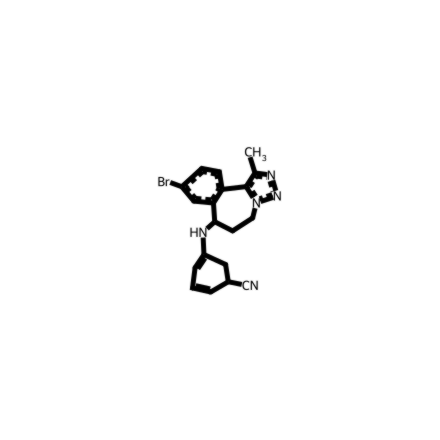 Cc1nnn2c1-c1ccc(Br)cc1C(NC1=CC=CC(C#N)C1)CC2